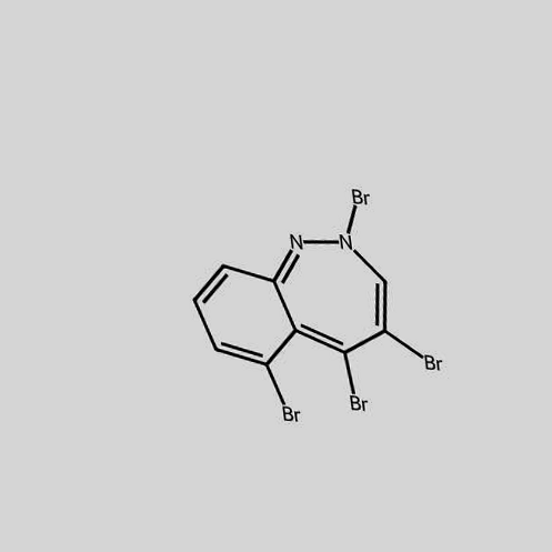 BrC1=CN(Br)N=c2cccc(Br)c2=C1Br